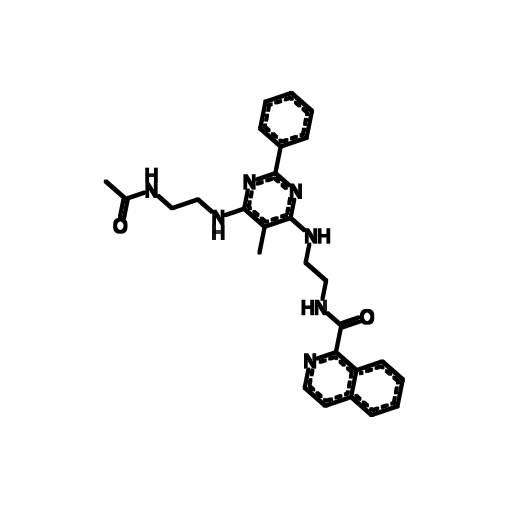 CC(=O)NCCNc1nc(-c2ccccc2)nc(NCCNC(=O)c2nccc3ccccc23)c1C